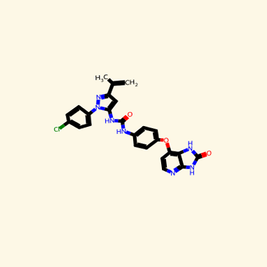 C=C(C)c1cc(NC(=O)Nc2ccc(Oc3ccnc4[nH]c(=O)[nH]c34)cc2)n(-c2ccc(Cl)cc2)n1